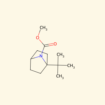 COC(=O)N1C2CCC1(C(C)(C)C)CC2